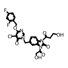 O=C(CO)n1c(=O)n(C(=O)CCO)c2ccc(Cn3cnc(OCc4ccc(F)cc4F)c(Cl)c3=O)cc21